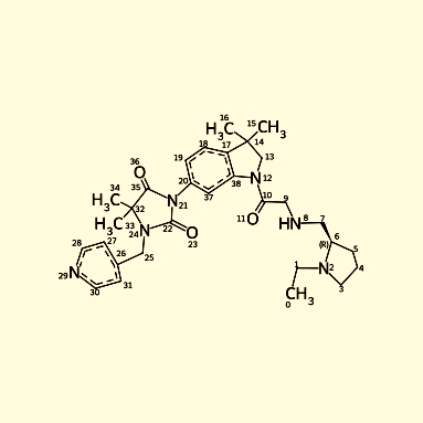 CCN1CCC[C@@H]1CNCC(=O)N1CC(C)(C)c2ccc(N3C(=O)N(Cc4ccncc4)C(C)(C)C3=O)cc21